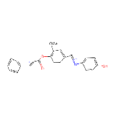 COc1cc(/C=N/c2ccc(O)cc2)ccc1OC(=O)/C=C/c1ccccc1